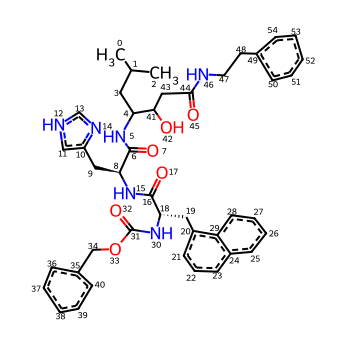 CC(C)CC(NC(=O)[C@H](Cc1c[nH]cn1)NC(=O)[C@H](Cc1cccc2ccccc12)NC(=O)OCc1ccccc1)C(O)CC(=O)NCCc1ccccc1